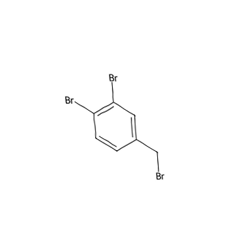 BrCc1ccc(Br)c(Br)c1